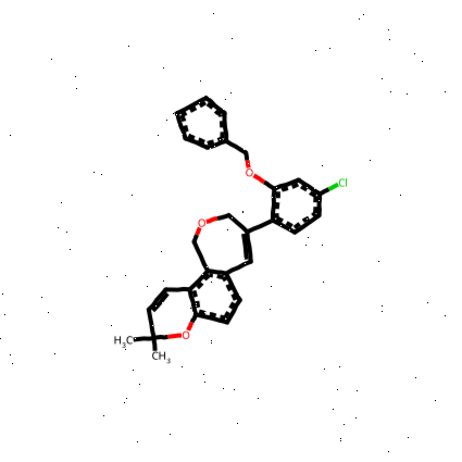 CC1(C)C=Cc2c(ccc3c2COCC(c2ccc(Cl)cc2OCc2ccccc2)=C3)O1